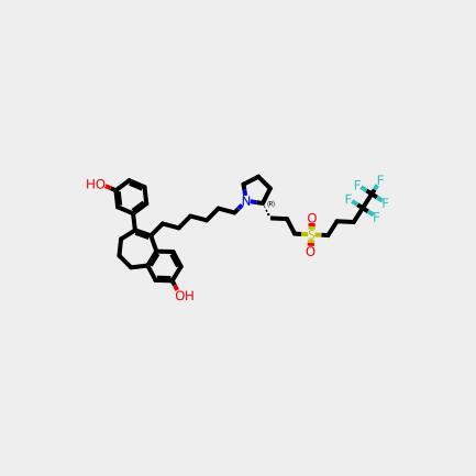 O=S(=O)(CCC[C@H]1CCCN1CCCCCCC1=C(c2cccc(O)c2)CCCc2cc(O)ccc21)CCCC(F)(F)C(F)(F)F